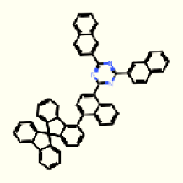 c1ccc2c(c1)-c1ccccc1C21c2ccccc2-c2c(-c3ccc(-c4nc(-c5ccc6ccccc6c5)nc(-c5ccc6ccccc6c5)n4)c4ccccc34)cccc21